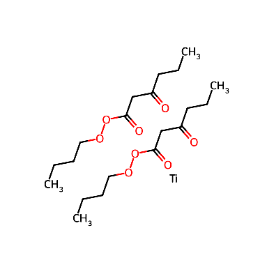 CCCCOOC(=O)CC(=O)CCC.CCCCOOC(=O)CC(=O)CCC.[Ti]